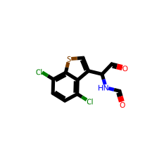 O=[C]C(NC=O)c1csc2c(Cl)ccc(Cl)c12